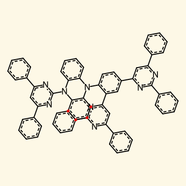 c1ccc(-c2cc(-c3ccc(N4c5ccccc5N(c5nc(-c6ccccc6)cc(-c6ccccc6)n5)c5ccccc54)c(-c4cc(-c5ccccc5)nc(-c5ccccc5)n4)c3)nc(-c3ccccc3)n2)cc1